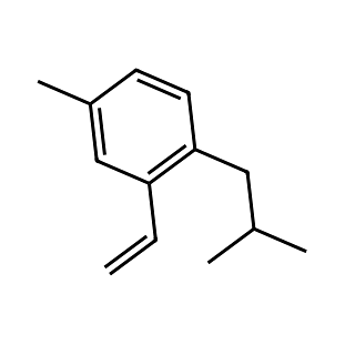 C=Cc1cc(C)ccc1CC(C)C